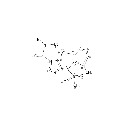 CCN(CC)C(=O)n1cnc(N(c2c(C)cccc2C)S(C)(=O)=O)n1